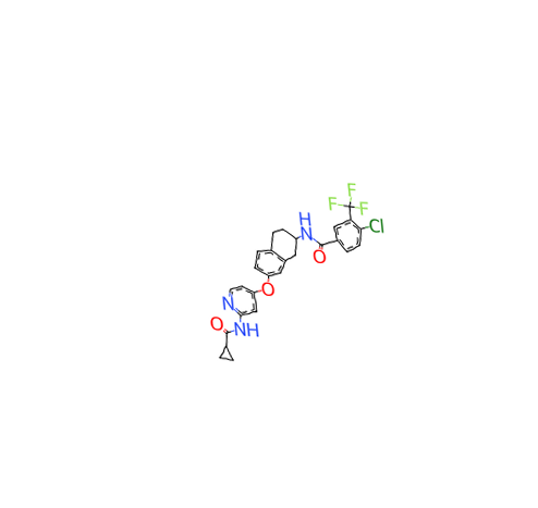 O=C(NC1CCc2ccc(Oc3ccnc(NC(=O)C4CC4)c3)cc2C1)c1ccc(Cl)c(C(F)(F)F)c1